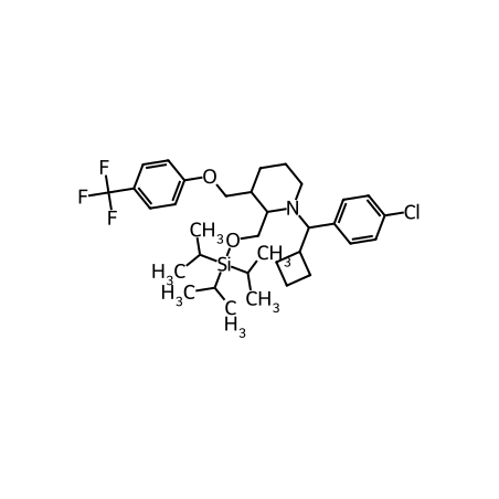 CC(C)[Si](OCC1C(COc2ccc(C(F)(F)F)cc2)CCCN1C(c1ccc(Cl)cc1)C1CCC1)(C(C)C)C(C)C